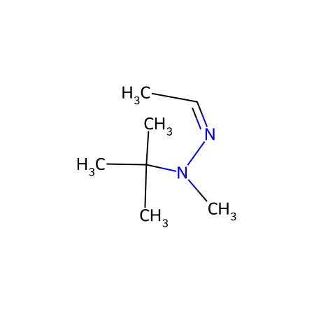 C/C=N\N(C)C(C)(C)C